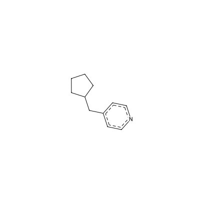 c1cc(CC2CCCC2)ccn1